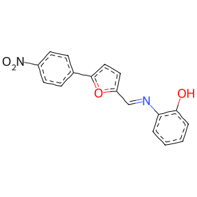 O=[N+]([O-])c1ccc(-c2ccc(/C=N/c3ccccc3O)o2)cc1